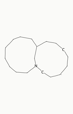 [CH]1CCCCCC2CCCCCCCCN(CC1)C2